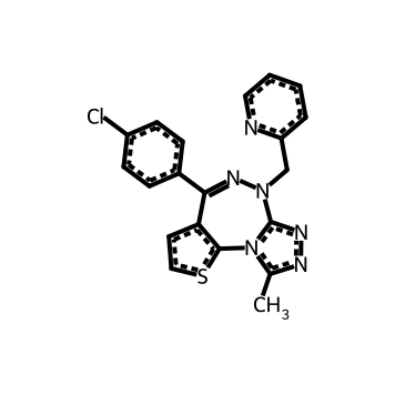 Cc1nnc2n1-c1sccc1C(c1ccc(Cl)cc1)=NN2Cc1ccccn1